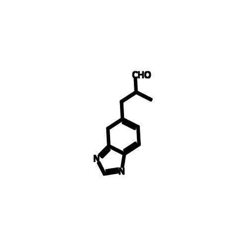 CC(C=O)CC1=CC=C2N=CN=C2C1